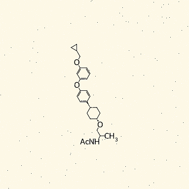 CC(=O)NC(C)CO[C@H]1CC[C@@H](c2ccc(Oc3cccc(OCC4CC4)c3)cc2)CC1